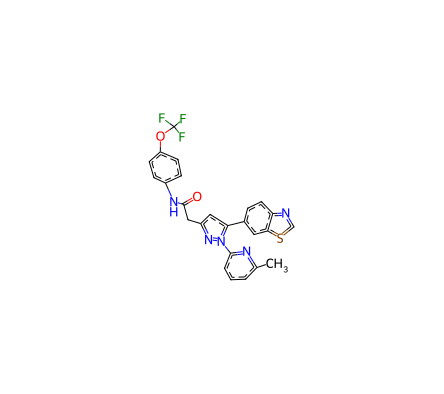 Cc1cccc(-n2nc(CC(=O)Nc3ccc(OC(F)(F)F)cc3)cc2-c2ccc3ncsc3c2)n1